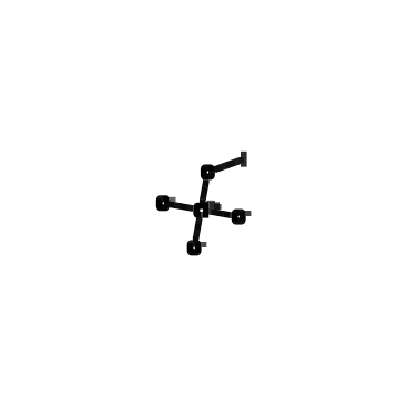 [O-][Cl+3]([O-])([O-])OI